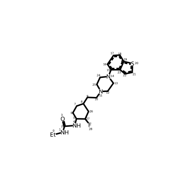 CCNC(=O)NC1CCC(CCN2CCN(c3cccc4sccc34)CC2)CC1F